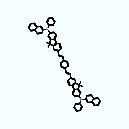 CC1(C)c2cc(/C=C/c3ccc(/C=C/c4ccc5c(c4)C(C)(C)c4cc(N(c6ccccc6)c6ccc7ccccc7c6)ccc4-5)cc3)ccc2-c2ccc(N(c3ccccc3)c3ccc4ccccc4c3)cc21